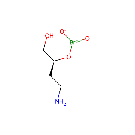 NCC[C@@H](CO)O[Br+2]([O-])[O-]